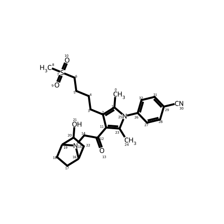 Cc1c(CCCCS(C)(=O)=O)c(C(=O)CN2C3CCC2C(O)C3)c(C)n1-c1ccc(C#N)cc1